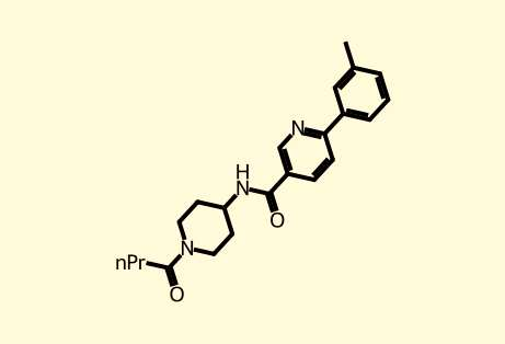 CCCC(=O)N1CCC(NC(=O)c2ccc(-c3cccc(C)c3)nc2)CC1